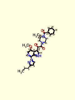 CCCc1ccn(-c2ncc(OC)c3c(C(=O)C(=O)N4CCN(C(=O)c5ccccc5)[C@H](C)C4)c[nH]c23)n1